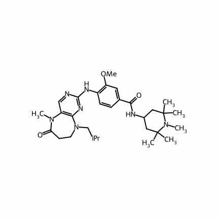 COc1cc(C(=O)NC2CC(C)(C)N(C)C(C)(C)C2)ccc1Nc1ncc2c(n1)N(CC(C)C)CCC(=O)N2C